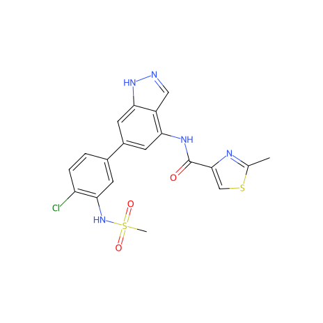 Cc1nc(C(=O)Nc2cc(-c3ccc(Cl)c(NS(C)(=O)=O)c3)cc3[nH]ncc23)cs1